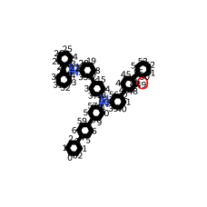 c1ccc(-c2ccc(-c3ccc(N(c4ccc(-c5cccc(-n6c7ccccc7c7ccccc76)c5)cc4)c4cccc(-c5ccc6c(c5)oc5ccccc56)c4)cc3)cc2)cc1